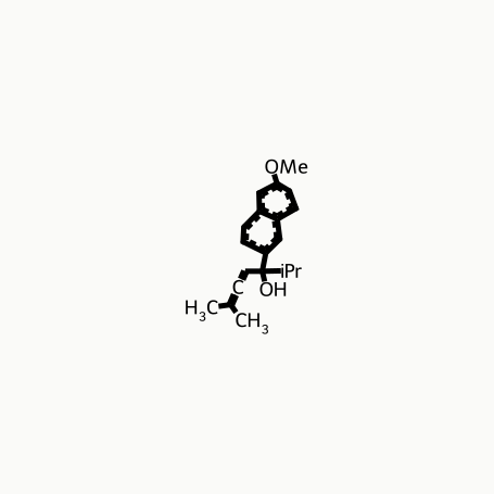 COc1ccc2cc(C(O)(C=C=C(C)C)C(C)C)ccc2c1